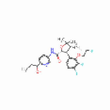 CC[C@H](O)c1ccc(NC(=O)[C@@H]2OC(C)(C)[C@@H](C)[C@H]2c2ccc(F)c(F)c2OCCF)cn1